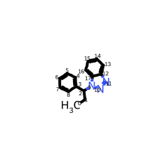 CCC(c1ccccc1)n1nnc2ccccc21